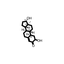 C[C@]12CC[C@H]3[C@@H](CCC4=CC(=O)C(O)C[C@@H]43)[C@@H]1CC[C@@H]2O